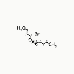 CCCC[O][Al+][O]CCCC.[Br-]